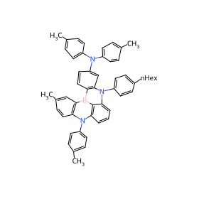 CCCCCCc1ccc(N2c3cc(N(c4ccc(C)cc4)c4ccc(C)cc4)ccc3B3c4cc(C)ccc4N(c4ccc(C)cc4)c4cccc2c43)cc1